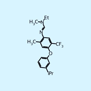 CCN(C)C=Nc1cc(C(F)(F)F)c(Oc2cccc(C(C)C)c2)cc1C